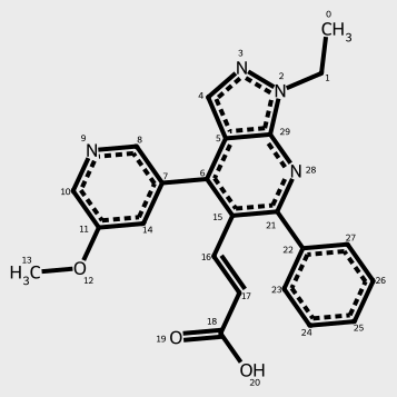 CCn1ncc2c(-c3cncc(OC)c3)c(/C=C/C(=O)O)c(-c3ccccc3)nc21